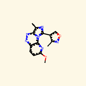 COc1ccc2nnc3c(C)nc(-c4conc4C)n3c2n1